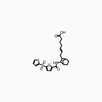 O=C(O)CCC/C=C/CC1C2CCC(C2)C1NC(=O)c1ccc(S(=O)(=O)c2cccs2)s1